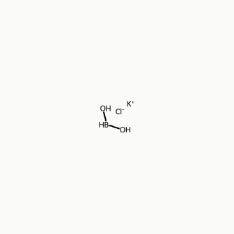 OBO.[Cl-].[K+]